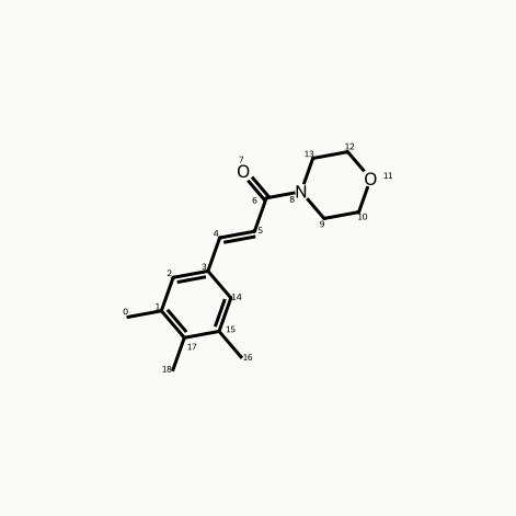 Cc1cc(/C=C/C(=O)N2CCOCC2)cc(C)c1C